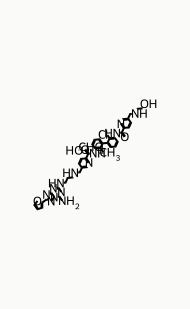 Cc1c(NC(=O)c2ccc(CNCCCNc3nc(N)n4nc(-c5ccco5)nc4n3)cn2)cccc1-c1cccc(NC(=O)c2ccc(CNCCO)cn2)c1Cl.O=CO